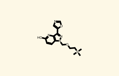 C[Si](C)(C)CCOCn1nc(-c2cnco2)c2nc(O)ccc21